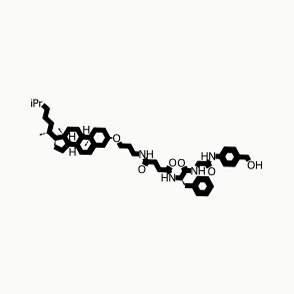 CC(C)CCC[C@@H](C)[C@H]1CC[C@H]2[C@@H]3CC=C4C[C@@H](OCCCNC(=O)CCC(=O)N[C@@H](Cc5ccccc5)C(=O)NCC(=O)Nc5ccc(CO)cc5)CC[C@]4(C)[C@H]3CC[C@]12C